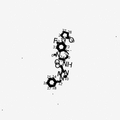 CN1C(=O)[C@@H](NC(=O)c2ncn(Cc3ccccc3)n2)CSc2cc(N3CCCC3=O)c(F)cc21